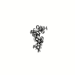 O=C1CNC(=O)N1c1cnc(Oc2ccc3c(c2)c(=O)ncn3Cc2c(F)cc(F)cc2F)c(C(F)(F)F)c1